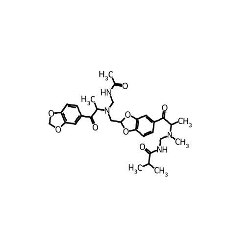 CC(=O)NCN(CC1Oc2ccc(C(=O)C(C)N(C)CNC(=O)C(C)C)cc2O1)C(C)C(=O)c1ccc2c(c1)OCO2